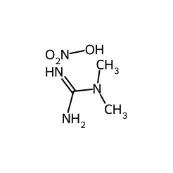 CN(C)C(=N)N.O=[N+]([O-])O